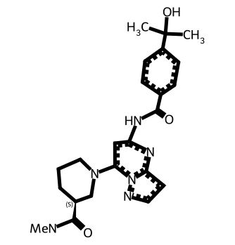 CNC(=O)[C@H]1CCCN(c2cc(NC(=O)c3ccc(C(C)(C)O)cc3)nc3ccnn23)C1